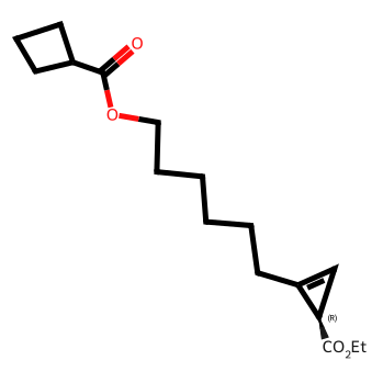 CCOC(=O)[C@@H]1C=C1CCCCCCOC(=O)C1CCC1